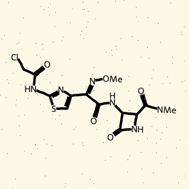 CNC(=O)C1NC(=O)C1NC(=O)C(=NOC)c1csc(NC(=O)CCl)n1